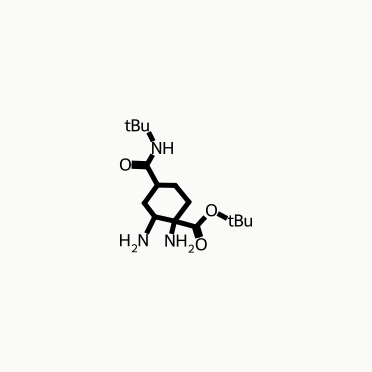 CC(C)(C)NC(=O)C1CCC(N)(C(=O)OC(C)(C)C)C(N)C1